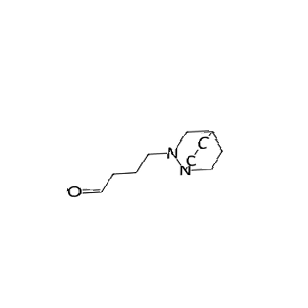 O=CCCCN1CC2CCN1CC2